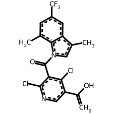 C=C(O)c1cnc(Cl)c(C(=O)n2cc(C)c3cc(C(F)(F)F)cc(C)c32)c1Cl